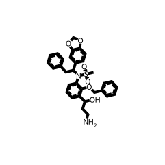 CS(=O)(=O)N(c1cccc(C(O)CCN)c1OCc1ccccc1)C(Cc1ccccc1)c1ccc2c(c1)OCO2